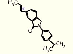 C/C=C/c1ccc2c(c1)C(=O)N(c1ccc(C(C)C)cc1)C2